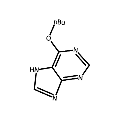 CCCCOc1ncnc2nc[nH]c12